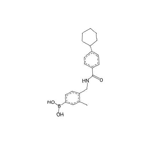 Cc1cc(B(O)O)ccc1CNC(=O)c1ccc(C2CCCCC2)cc1